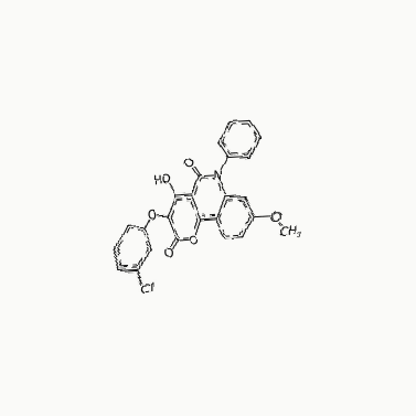 COc1ccc2c3oc(=O)c(Oc4cccc(Cl)c4)c(O)c3c(=O)n(-c3ccccc3)c2c1